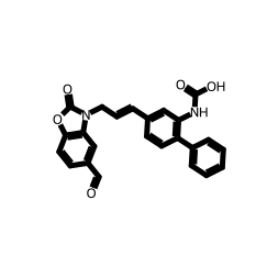 O=Cc1ccc2oc(=O)n(CC=Cc3ccc(-c4ccccc4)c(NC(=O)O)c3)c2c1